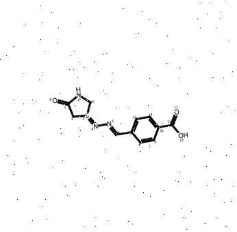 O=C1CS(=NN=Cc2ccc(C(=O)O)cc2)CN1